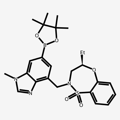 CC[C@@H]1CN(Cc2cc(B3OC(C)(C)C(C)(C)O3)cc3c2ncn3C)S(=O)(=O)c2ccccc2O1